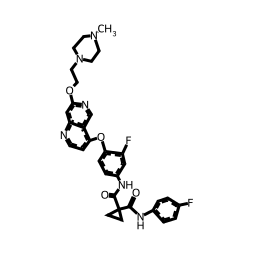 CN1CCN(CCOc2cc3nccc(Oc4ccc(NC(=O)C5(C(=O)Nc6ccc(F)cc6)CC5)cc4F)c3cn2)CC1